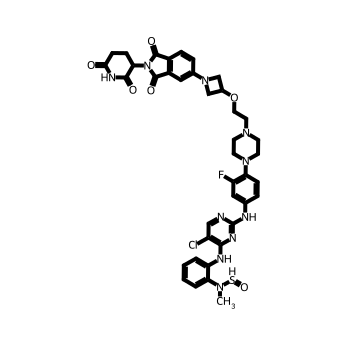 CN([SH]=O)c1ccccc1Nc1nc(Nc2ccc(N3CCN(CCOC4CN(c5ccc6c(c5)C(=O)N(C5CCC(=O)NC5=O)C6=O)C4)CC3)c(F)c2)ncc1Cl